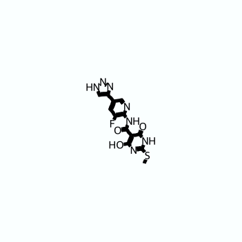 CSc1nc(O)c(C(=O)Nc2ncc(-c3c[nH]nn3)cc2F)c(=O)[nH]1